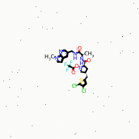 C[C@H](NC(=O)[C@H]1C[C@H](Cc2cc(Cl)c(Cl)s2)CN1OC(=O)C(F)(F)F)C(=O)NCc1cnc2c(ccn2C)c1